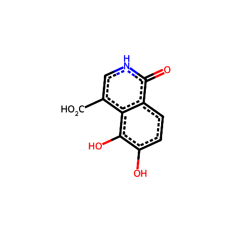 O=C(O)c1c[nH]c(=O)c2ccc(O)c(O)c12